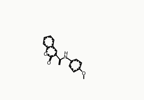 C=C(Nc1ccc(OC)cc1)c1cc2ccccc2oc1=O